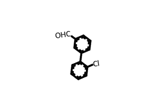 O=Cc1cccc(-c2ccccc2Cl)c1